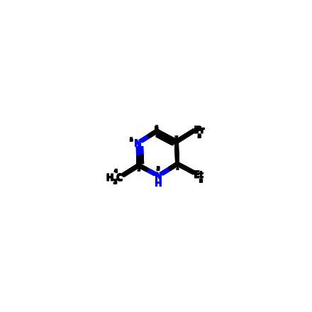 CCC1NC(C)=NC=C1C(C)C